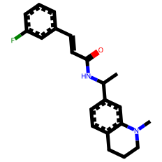 CC(NC(=O)C=Cc1cccc(F)c1)c1ccc2c(c1)N(C)CCC2